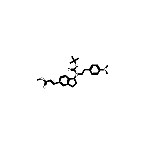 COC(=O)/C=C/c1ccc2c(c1)CCC2N(CCc1ccc(N(C)C)cc1)C(=O)OC(C)(C)C